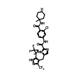 CC1(NC(=O)c2ccc(NC(=O)c3ncc(Cc4c(C(F)(F)F)n[nH]c4[C@@H]4CC4(F)F)[nH]3)cc2Cl)CCNCC1